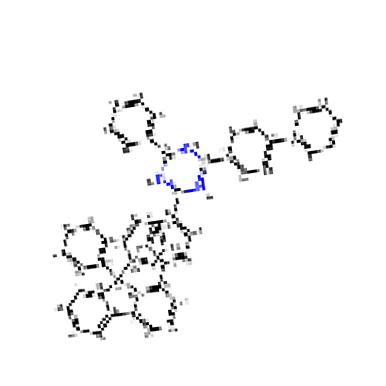 c1ccc(-c2ccc(-c3nc(-c4ccccc4)nc(-c4ccc(-c5cccc6c5C(c5ccccc5)(c5ccccc5)c5ccccc5-6)cc4)n3)cc2)cc1